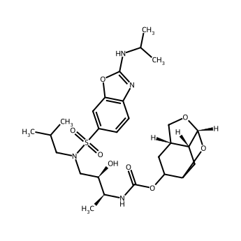 CC(C)CN(C[C@@H](O)[C@H](C)NC(=O)OC1C[C@@H]2CO[C@@H]3OC1C[C@H]23)S(=O)(=O)c1ccc2nc(NC(C)C)oc2c1